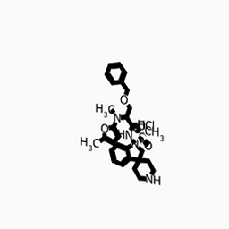 Cc1ccc(N(C)C(COCc2ccccc2)C(=O)N[N+]2(S(C)(=O)=O)CC3(CCNCC3)c3ccccc32)o1.Cl